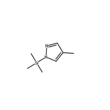 Cc1cnn([Si](C)(C)C)c1